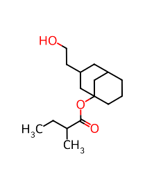 CCC(C)C(=O)OC12CCCC(CC(CCO)C1)C2